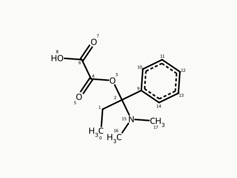 CCC(OC(=O)C(=O)O)(c1ccccc1)N(C)C